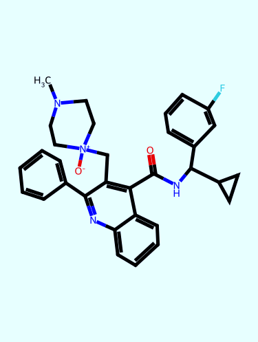 CN1CC[N+]([O-])(Cc2c(-c3ccccc3)nc3ccccc3c2C(=O)NC(c2cccc(F)c2)C2CC2)CC1